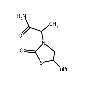 CCCC1CN(C(C)C(N)=O)C(=O)S1